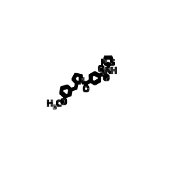 COc1cccc(CC2CCCN2C(=O)c2ccc(S(=O)(=O)Nc3nccs3)cc2)c1